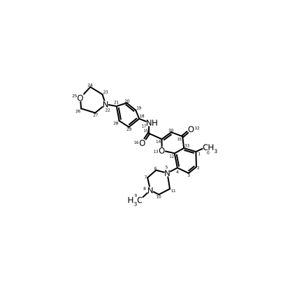 Cc1ccc(N2CCN(C)CC2)c2oc(C(=O)Nc3ccc(N4CCOCC4)cc3)cc(=O)c12